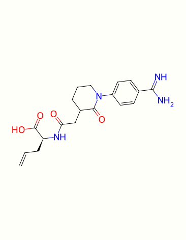 C=CC[C@H](NC(=O)CC1CCCN(c2ccc(C(=N)N)cc2)C1=O)C(=O)O